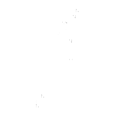 CC(C)(C)n1ncc2cccc(C(C(=O)O)N3CC(OCCCCCc4ccc5c(n4)NCCC5)C3)c21